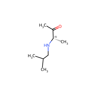 CC(=O)[C@H](C)NCC(C)C